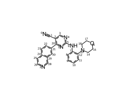 N#Cc1cnc(Nc2ccccc2N2CCOCC2)nc1-c1ccc2ccncc2c1